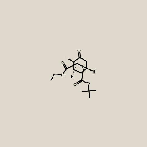 CCOC(=O)[C@H]1[C@@H]2CC[C@@H](CC2=O)N1C(=O)OC(C)(C)C